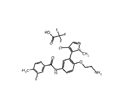 Cc1ccc(C(=O)Nc2ccc(OCCN)c(-c3c(Cl)cnn3C)c2)cc1F.O=C(O)C(F)(F)F